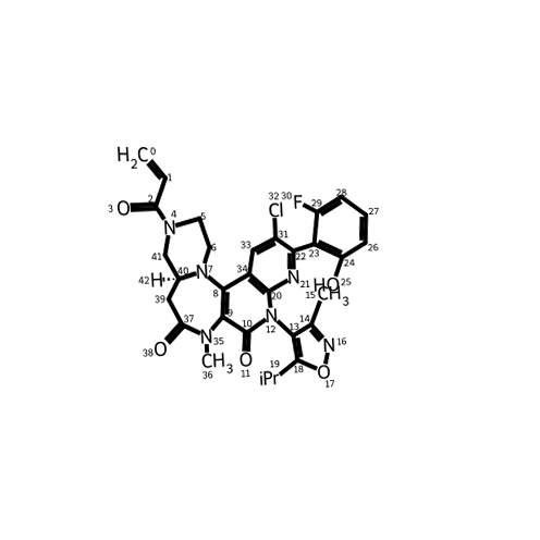 C=CC(=O)N1CCN2c3c(c(=O)n(-c4c(C)noc4C(C)C)c4nc(-c5c(O)cccc5F)c(Cl)cc34)N(C)C(=O)C[C@H]2C1